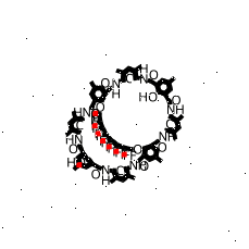 Cc1cc2c(O)c(c1)C(=O)Nc1cc(c(C)cc1C)NC(=O)c1cc(C)cc3c1OC(F)(F)C(F)(F)C(F)(F)C(F)(F)C(F)(F)C(F)(F)C(F)(F)C(F)(F)Oc1c(cc(C)cc1C(=O)Nc1cc(c(C)cc1C)NC(=O)c1cc(C)cc(c1O)C(=O)Nc1cc(c(C)cc1C)NC3=O)C(=O)Nc1cc(c(C)cc1C)NC2=O